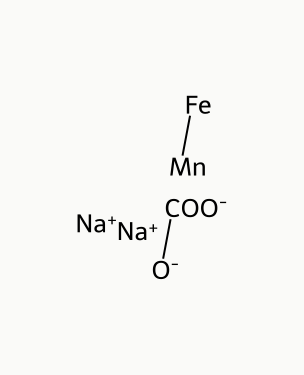 O=C([O-])[O-].[Mn][Fe].[Na+].[Na+]